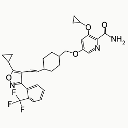 NC(=O)c1ncc(OCC2CCC(/C=C/c3c(-c4ccccc4C(F)(F)F)noc3C3CC3)CC2)cc1OC1CC1